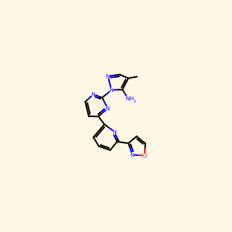 Cc1cnn(-c2nccc(-c3cccc(-c4ccon4)n3)n2)c1N